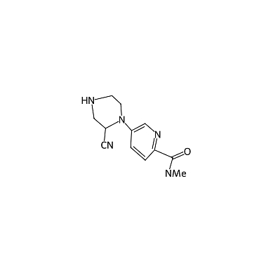 CNC(=O)c1ccc(N2CCNCC2C#N)cn1